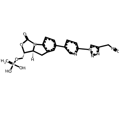 [C-]#[N+]Cc1cn(-c2ccc(-c3ccc4c(c3)C[C@H]3[C@H](COP(=C)(O)O)OC(=O)N43)cn2)nn1